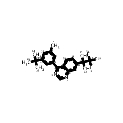 Cc1cc(-c2ncnc3cc(C(C)(C)C(F)(F)F)ccc23)cc(C(C)(C)C)c1